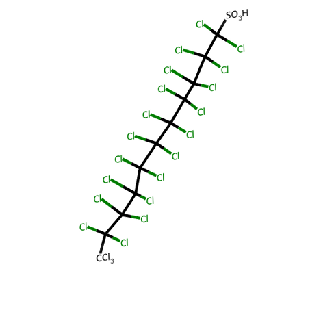 O=S(=O)(O)C(Cl)(Cl)C(Cl)(Cl)C(Cl)(Cl)C(Cl)(Cl)C(Cl)(Cl)C(Cl)(Cl)C(Cl)(Cl)C(Cl)(Cl)C(Cl)(Cl)C(Cl)(Cl)C(Cl)(Cl)Cl